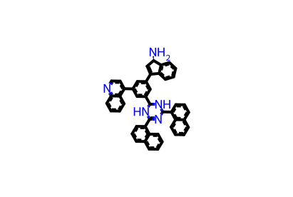 N[C@H]1C=C(c2cc(-c3ccnc4ccccc34)cc(C3NC(c4cccc5ccccc45)=NC(c4cccc5ccccc45)N3)c2)c2ccccc21